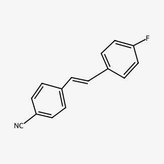 N#Cc1ccc(C=Cc2ccc(F)cc2)cc1